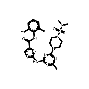 Cc1nc(Nc2ncc(C(=O)Nc3c(C)cccc3Cl)s2)nc(N2CCN(S(=O)(=O)N(C)C)CC2)n1